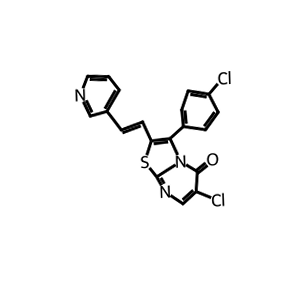 O=c1c(Cl)cnc2sc(C=Cc3cccnc3)c(-c3ccc(Cl)cc3)n12